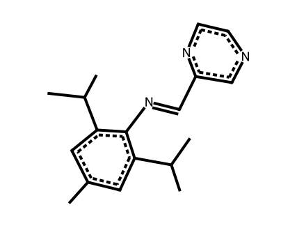 Cc1cc(C(C)C)c(N=Cc2cnccn2)c(C(C)C)c1